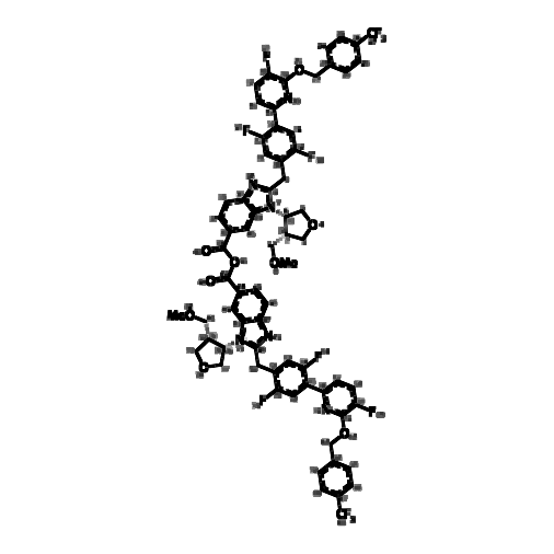 COC[C@H]1COC[C@H]1n1c(Cc2cc(F)c(-c3ccc(F)c(OCc4ccc(C(F)(F)F)cc4)n3)cc2F)nc2ccc(C(=O)OC(=O)c3ccc4nc(Cc5cc(F)c(-c6ccc(F)c(OCc7ccc(C(F)(F)F)cc7)n6)cc5F)n([C@@H]5COC[C@@H]5COC)c4c3)cc21